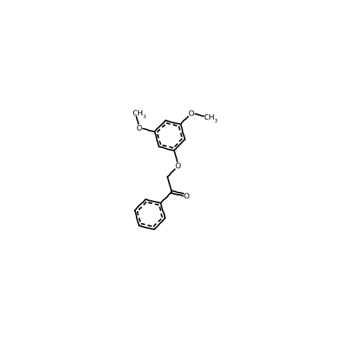 COc1cc(OC)cc(OCC(=O)c2ccccc2)c1